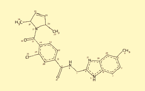 Cc1ccc2[nH]c(CNC(=O)c3ccc(C(=O)N4C(C)C=CC4C)c(Cl)c3)nc2c1